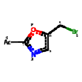 CC(=O)c1ncc(CBr)o1